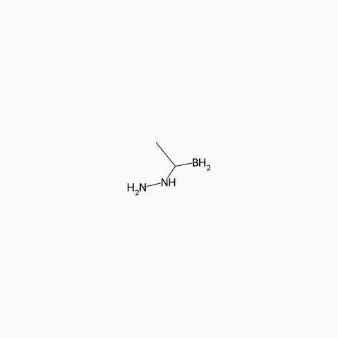 BC(C)NN